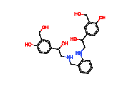 OCc1cc(C(O)CNCc2ccccc2NCC(O)c2ccc(O)c(CO)c2)ccc1O